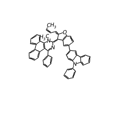 C\C=C/C=c1/oc2ccc(-c3ccc4c(c3)c3ccccc3n4-c3ccccc3)cc2/c1=C1\N=C(c2ccccc2)c2c(c3ccccc3c3ccccc23)N1C